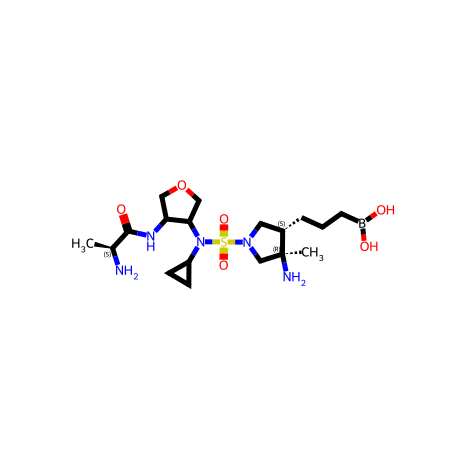 C[C@H](N)C(=O)NC1COCC1N(C1CC1)S(=O)(=O)N1C[C@H](CCCB(O)O)[C@@](C)(N)C1